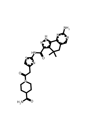 CC1(C)Cc2cnc(N)nc2-c2[nH]nc(C(=O)Nc3nc(CC(=O)N4CCC(C(N)=O)CC4)cs3)c21